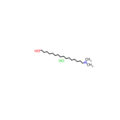 CN(C)CCCCCCCCCCCCCCCCO.Cl